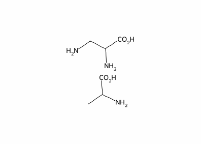 CC(N)C(=O)O.NCC(N)C(=O)O